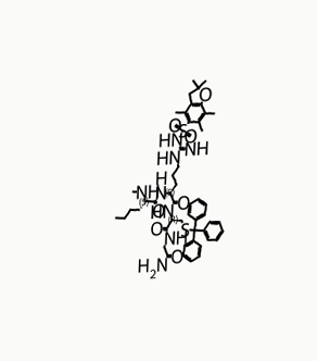 CCCC[C@H](NC)C(=O)N[C@@H](CCCNC(=N)NS(=O)(=O)c1c(C)c(C)c2c(c1C)CC(C)(C)O2)C(=O)N[C@@H](CSC(c1ccccc1)(c1ccccc1)c1ccccc1)C(=O)NCC(N)=O